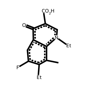 CCc1c(F)cc2c(=O)c(C(=O)O)cn(CC)c2c1C